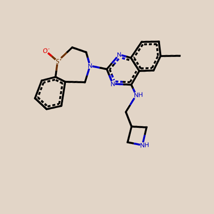 Cc1ccc2nc(N3CC[S+]([O-])c4ccccc4C3)nc(NCC3CNC3)c2c1